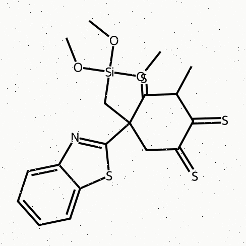 CO[Si](CC1(c2nc3ccccc3s2)[CH]C(=S)C(=S)C(C)C1=S)(OC)OC